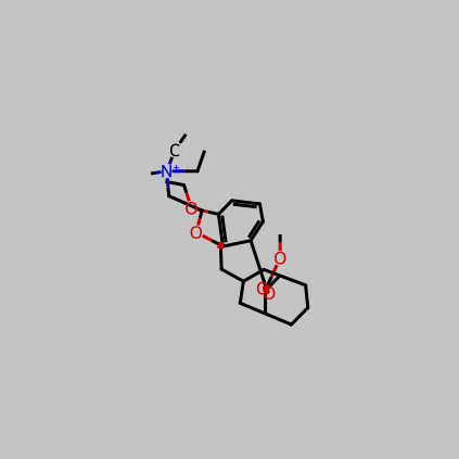 CCOc1cccc(C2(OC)OOC23C2CCCC3CC(CCOCC[N+](C)(CC)CC)C2)c1